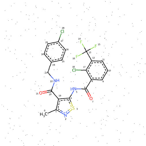 Cc1nsc(NC(=O)c2cccc(C(F)(F)F)c2Cl)c1C(=O)NCc1ccc(Cl)cc1